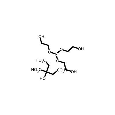 O=C(O)CC(O)(CC(=O)O)C(=O)O.OCCON(OCCO)OCCO